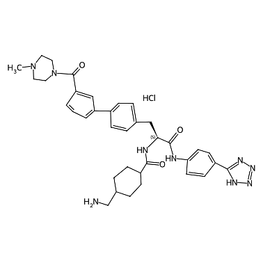 CN1CCN(C(=O)c2cccc(-c3ccc(C[C@H](NC(=O)C4CCC(CN)CC4)C(=O)Nc4ccc(-c5nnn[nH]5)cc4)cc3)c2)CC1.Cl